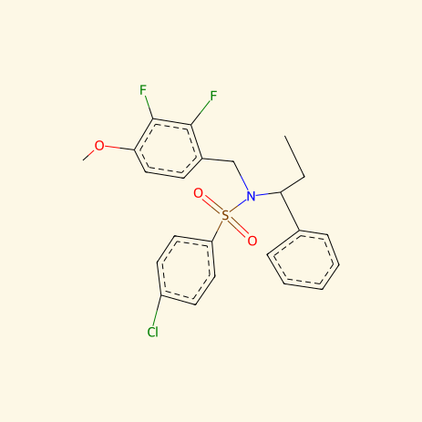 CCC(c1ccccc1)N(Cc1ccc(OC)c(F)c1F)S(=O)(=O)c1ccc(Cl)cc1